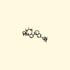 CC1[C@H](C)Cc2c(cccc2N2CCCc3cc(-c4cnn(C)c4)ccc32)NC(=O)[C@H]1C